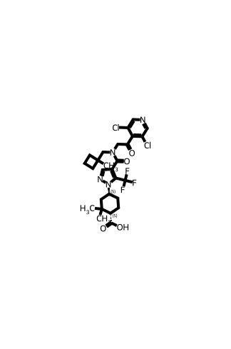 CC1(CN(CC(=O)c2c(Cl)cncc2Cl)C(=O)c2cnn([C@H]3CC[C@H](C(=O)O)C(C)(C)C3)c2C(F)(F)F)CCC1